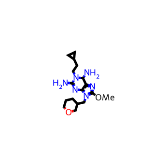 COc1nc2c(n1CC1CCCOC1)N=C(N)N(CCC1CC1)C2N